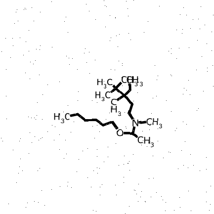 CCCCCCOC(C)N(C)CCC(C)(CC)C(C)(C)C